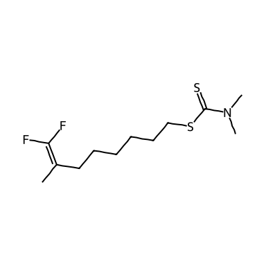 CC(CCCCCCSC(=S)N(C)C)=C(F)F